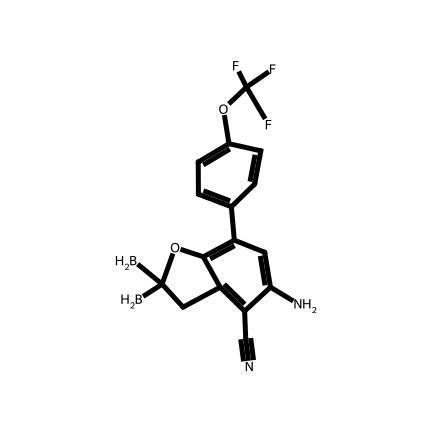 BC1(B)Cc2c(C#N)c(N)cc(-c3ccc(OC(F)(F)F)cc3)c2O1